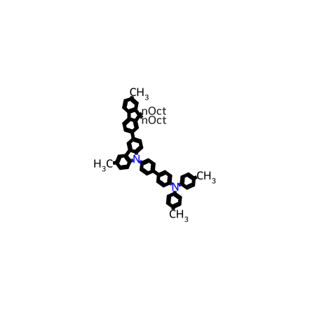 CCCCCCCCC1(CCCCCCCC)c2cc(C)ccc2-c2ccc(-c3ccc4c(c3)c3cc(C)ccc3n4-c3ccc(-c4ccc(N(c5ccc(C)cc5)c5ccc(C)cc5)cc4)cc3)cc21